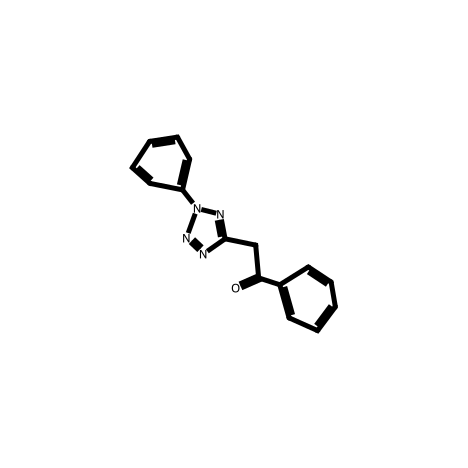 O=C(Cc1nnn(-c2ccccc2)n1)c1ccccc1